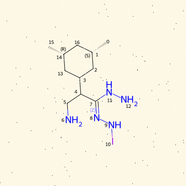 C[C@@H]1CC(C(CN)/C(=N/NI)NN)C[C@H](C)C1